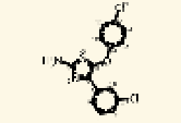 Nc1nc(-c2cccc(Cl)c2)c(Oc2ccc(Cl)cc2)s1